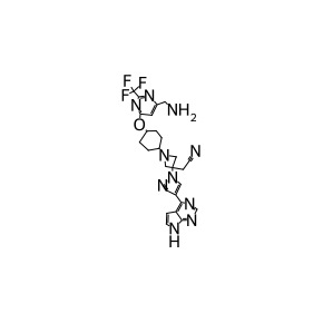 N#CCC1(n2cc(-c3ncnc4[nH]ccc34)cn2)CN([C@H]2CC[C@@H](Oc3cc(CN)nc(C(F)(F)F)n3)CC2)C1